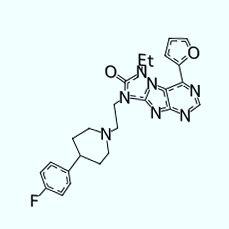 CCn1c(=O)n(CCN2CCC(c3ccc(F)cc3)CC2)c2nc3ncnc(-c4ccco4)c3n21